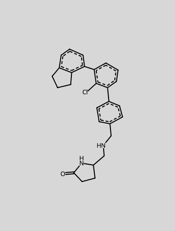 O=C1CCC(CNCc2ccc(-c3cccc(-c4cccc5c4CCC5)c3Cl)cc2)N1